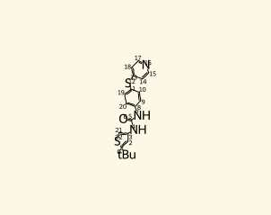 CC(C)(C)c1cc(NC(=O)Nc2ccc(Sc3ccncc3)cc2)cs1